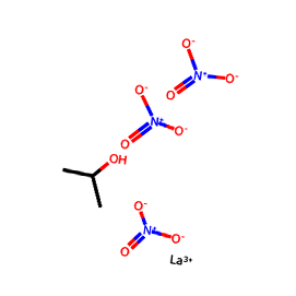 CC(C)O.O=[N+]([O-])[O-].O=[N+]([O-])[O-].O=[N+]([O-])[O-].[La+3]